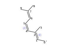 [CH2]/C=C(C)/C=C\C=C(C)C